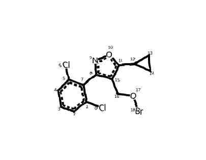 Clc1cccc(Cl)c1-c1noc(C2CC2)c1COBr